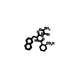 CCC(NC(=O)C(Cc1ccc2ccccc2c1)NC(=O)[C@@H]1CCCC[C@H]1C(=O)O)C(N)=O